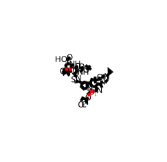 CO[C@@H](C)c1ncc(N2CCN(C3CC3)CC2)cc1-c1c(CC(C)(C)CO)c2cc(-c3csc([C@H]([C@H](NC(=O)OC(C)(C)C)C(=O)N4CCC[C@@H](C(=O)O)N4)N4CC5(COC5)C4)n3)ccc2n1CCOC1CCOCC1